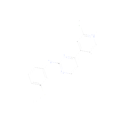 CSc1cccc(Nc2nccc(-c3ccnc(Cl)c3)n2)c1